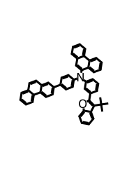 CC(C)(C)c1c(-c2cccc(N(c3ccc(-c4ccc5c(ccc6ccccc65)c4)cc3)c3cc4ccccc4c4ccccc34)c2)oc2ccccc12